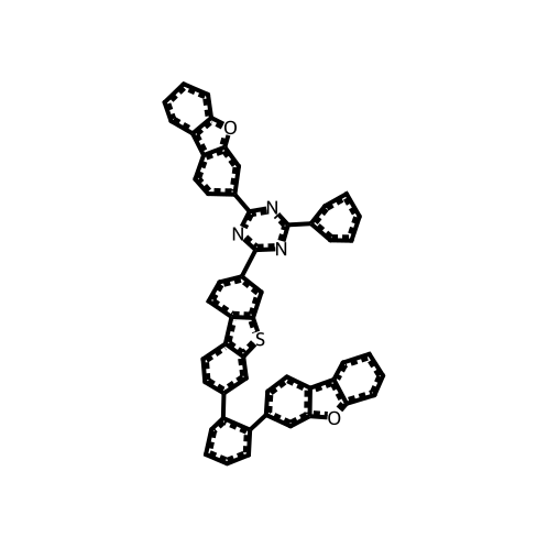 c1ccc(-c2nc(-c3ccc4c(c3)oc3ccccc34)nc(-c3ccc4c(c3)sc3cc(-c5ccccc5-c5ccc6c(c5)oc5ccccc56)ccc34)n2)cc1